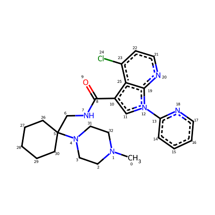 CN1CCN(C2(CNC(=O)c3cn(-c4ccccn4)c4nccc(Cl)c34)CCCCC2)CC1